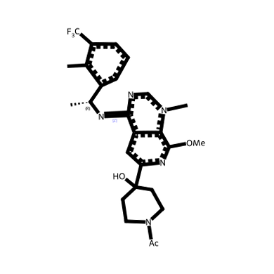 COc1nc(C2(O)CCN(C(C)=O)CC2)cc2/c(=N/[C@H](C)c3cccc(C(F)(F)F)c3C)ncn(C)c12